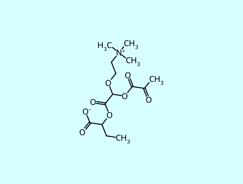 CCC(OC(=O)C(OCC[N+](C)(C)C)OC(=O)C(C)=O)C(=O)[O-]